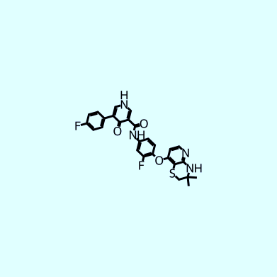 CC1(C)CSc2c(Oc3ccc(NC(=O)c4c[nH]cc(-c5ccc(F)cc5)c4=O)cc3F)ccnc2N1